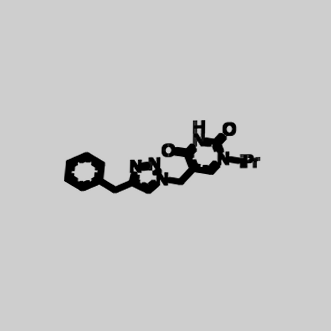 CC(C)n1cc(Cn2cc(Cc3ccccc3)nn2)c(=O)[nH]c1=O